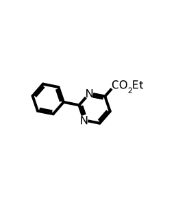 CCOC(=O)c1ccnc(-c2ccccc2)n1